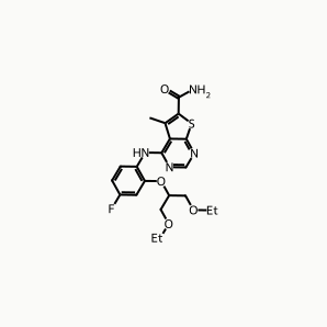 CCOCC(COCC)Oc1cc(F)ccc1Nc1ncnc2sc(C(N)=O)c(C)c12